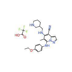 CCOc1ccc(Nc2c(C)c(NCC3CCCNC3)c(C#N)c3ccnn23)cc1.O=C(O)C(F)(F)F